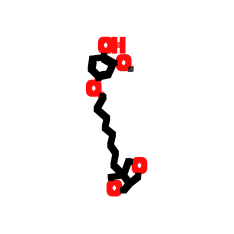 COc1cc(OCCCCCCCCC23COCC2COC3)ccc1O